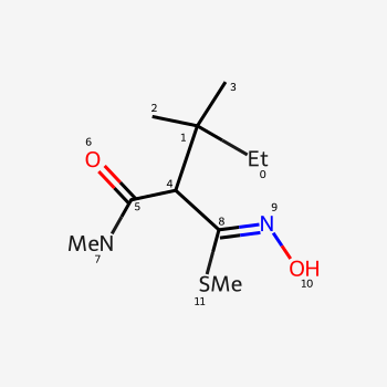 CCC(C)(C)C(C(=O)NC)C(=NO)SC